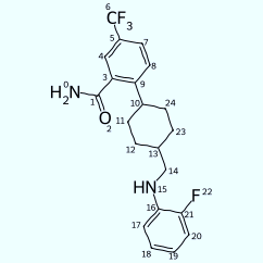 NC(=O)c1cc(C(F)(F)F)ccc1C1CCC(CNc2ccccc2F)CC1